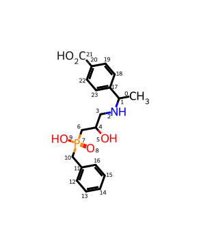 CC(NCC(O)CP(=O)(O)Cc1ccccc1)c1ccc(C(=O)O)cc1